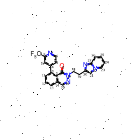 O=c1c2c(-c3ccnc(C(F)(F)F)c3)cccc2cnn1CCc1cn2ccccc2n1